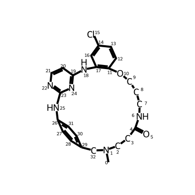 CN1CCC(=O)NCCCOc2ccc(Cl)cc2Nc2ccnc(n2)Nc2ccc(cc2)C1